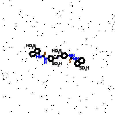 O=S(=O)(O)c1cc(NC(=S)Nc2ccc(S(=O)(=O)O)c3ccccc23)ccc1/C=C/c1ccc(NC(=S)Nc2ccc(S(=O)(=O)O)c3ccccc23)cc1S(=O)(=O)O